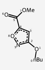 CCCCOc1cc(C(=O)OC)on1